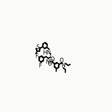 CCCN(CCC)C(=O)c1cc(C)cc(C(=O)O[C@H](CNCc2cccc(-c3cc(C)cs3)c2)[C@@H](N)Cc2cc(F)cc(F)c2)c1